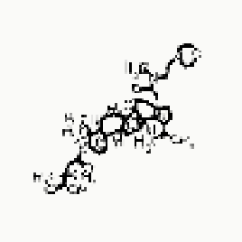 C=C(C)[C@@H]1CC[C@]2(CC(=O)N(C)CCN3CCOCC3)CC[C@]3(C)[C@H](CC[C@@H]4[C@@]5(C)CC[C@H](OC(=O)CC(C)(C)C(=O)O)C(C)(C)[C@@H]5CC[C@]43C)[C@@H]12